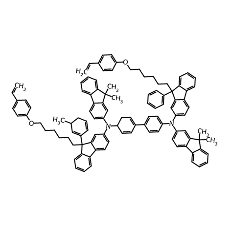 C=Cc1ccc(OCCCCCCC2(C3=CC(C)CC=C3)c3ccccc3-c3ccc(N(c4ccc5c(c4)C(C)(C)c4ccccc4-5)C4C=CC(c5ccc(N(c6ccc7c(c6)C(C)(C)c6ccccc6-7)c6ccc7c(c6)C(CCCCCCOc6ccc(C=C)cc6)(c6ccccc6)c6ccccc6-7)cc5)=CC4)cc32)cc1